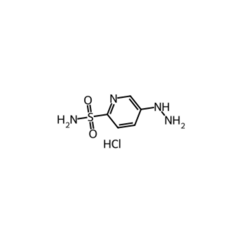 Cl.NNc1ccc(S(N)(=O)=O)nc1